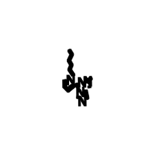 CCCCCCn1cccc1C(=NN(C)C)n1ccnc1